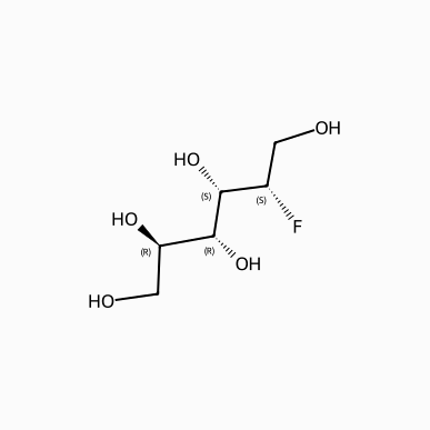 OC[C@@H](O)[C@@H](O)[C@H](O)[C@@H](F)CO